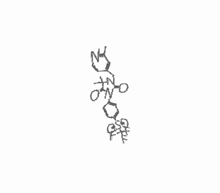 Cc1cc(CN2C(=O)N(c3ccc(S(=O)(=O)C(F)(F)F)cc3)C(=O)C2(C)C)ccn1